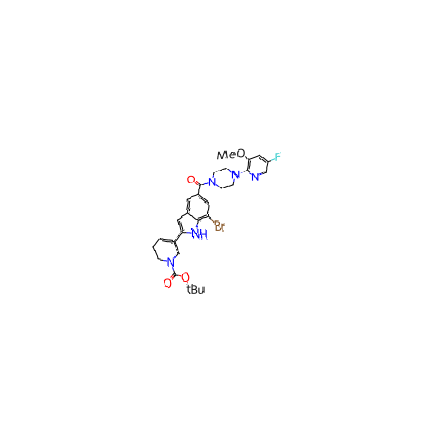 COc1cc(F)cnc1N1CCN(C(=O)c2cc(Br)c3[nH]c(C4=CCCN(C(=O)OC(C)(C)C)C4)cc3c2)CC1